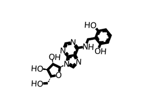 OC[C@H]1O[C@@H](n2cnc3c(NCc4c(O)cccc4O)ncnc32)[C@@H](O)[C@@H]1O